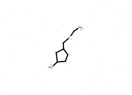 OC1CCC(CCCP)C1